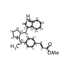 COC(=O)C=Cc1ccc([C@H](C)N2CCCC2Cc2c[nH]c3ccccc23)cc1